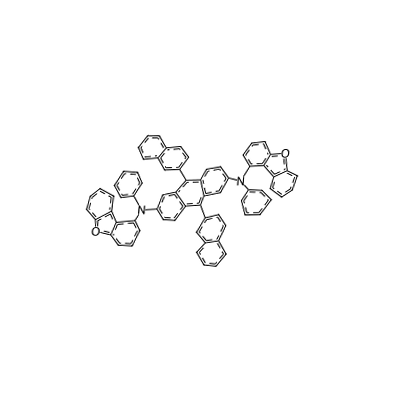 c1ccc(N(c2ccc3c(-c4ccc5ccccc5c4)c4cc(N(c5ccccc5)c5cccc6oc7ccccc7c56)ccc4c(-c4ccc5ccccc5c4)c3c2)c2cccc3oc4ccccc4c23)cc1